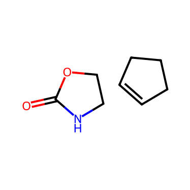 C1=CCCC1.O=C1NCCO1